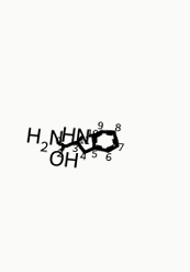 NC(O)C1Cc2ccccc2N1